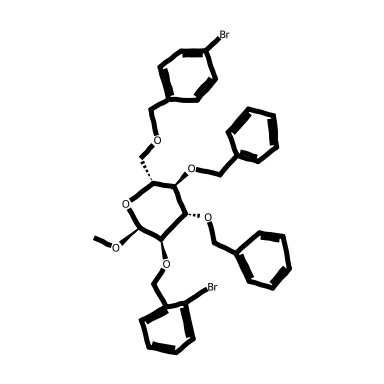 CO[C@H]1O[C@H](COCc2ccc(Br)cc2)[C@@H](OCc2ccccc2)[C@H](OCc2ccccc2)[C@H]1OCc1ccccc1Br